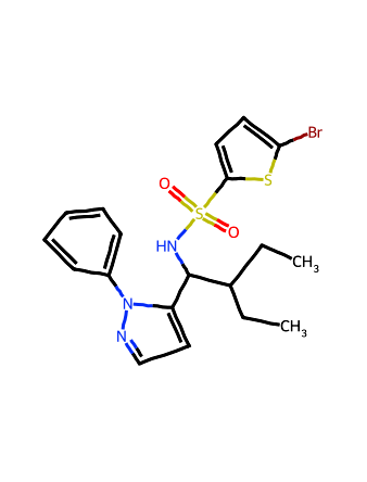 CCC(CC)C(NS(=O)(=O)c1ccc(Br)s1)c1ccnn1-c1ccccc1